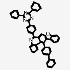 c1ccc(-c2ccc(-c3c4c(cc5c(-c6ccc(-c7nc(-c8ccccc8)nc(-c8ccccc8)n7)cc6)nc6ccccc6c35)oc3ccccc34)cc2)cc1